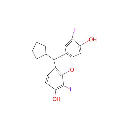 Oc1cc2c(cc1I)C(C1CCCC1)c1ccc(O)c(I)c1O2